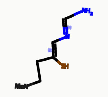 CNCC/C(S)=C/N=C/N